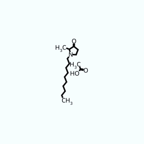 CC(=O)O.CCCCCCCCCCN1CCC(=O)C1C